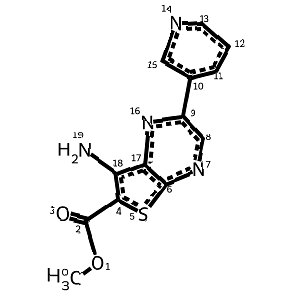 COC(=O)c1sc2ncc(-c3cccnc3)nc2c1N